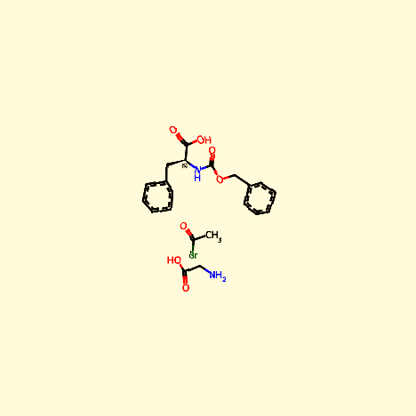 CC(=O)Br.NCC(=O)O.O=C(N[C@@H](Cc1ccccc1)C(=O)O)OCc1ccccc1